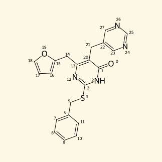 O=c1[nH]c(SCc2ccccc2)nc(Cc2ccco2)c1Cc1cncnc1